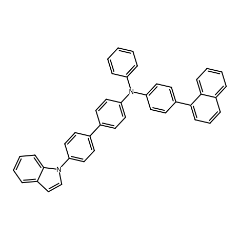 c1ccc(N(c2ccc(-c3ccc(-n4ccc5ccccc54)cc3)cc2)c2ccc(-c3cccc4ccccc34)cc2)cc1